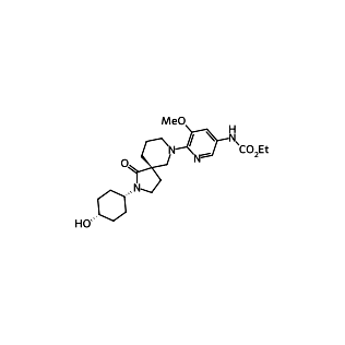 CCOC(=O)Nc1cnc(N2CCC[C@]3(CCN([C@H]4CC[C@@H](O)CC4)C3=O)C2)c(OC)c1